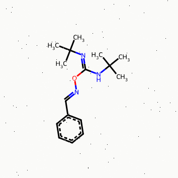 CC(C)(C)/N=C(/NC(C)(C)C)O/N=C/c1ccccc1